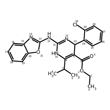 CCOC(=O)C1=C(C(C)C)NC(Nc2nc3ccccc3o2)=NC1c1ccccc1Cl